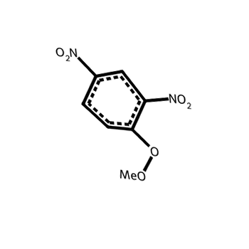 COOc1ccc([N+](=O)[O-])cc1[N+](=O)[O-]